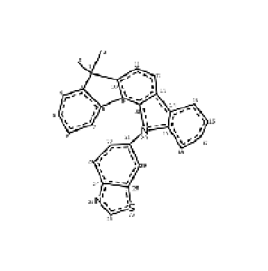 CC1(C)c2ccccc2-c2c1ccc1c3ccccc3n(-c3ccc4ncsc4c3)c21